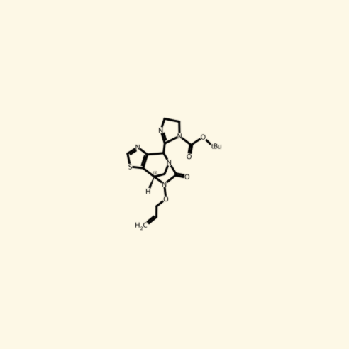 C=CCON1C(=O)N2C[C@H]1c1scnc1C2C1=NCCN1C(=O)OC(C)(C)C